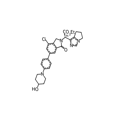 CCOC(=O)[C@@H](c1ncn2c1CCC2)N1Cc2c(Cl)cc(-c3ccc(N4CCC(O)CC4)cc3)cc2C1=O